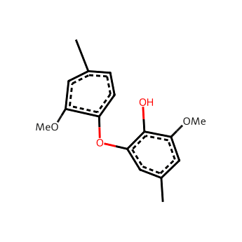 COc1cc(C)ccc1Oc1cc(C)cc(OC)c1O